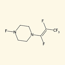 F/C(=C(/F)C(F)(F)F)N1CCN(F)CC1